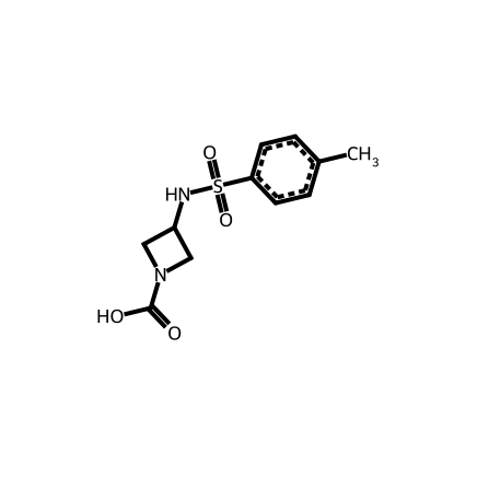 Cc1ccc(S(=O)(=O)NC2CN(C(=O)O)C2)cc1